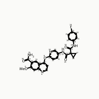 COc1cc2nccc(Oc3ccc(NC(=O)C4(C(=O)Nc5ccc(F)cc5)CC4)cn3)c2cc1C(N)=O